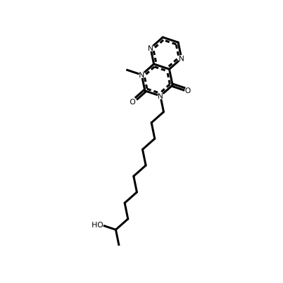 CC(O)CCCCCCCCCn1c(=O)c2nccnc2n(C)c1=O